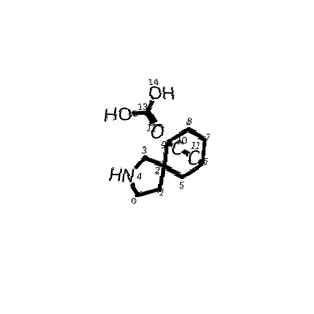 C1CC2(CN1)CC1CCC2CC1.O=C(O)O